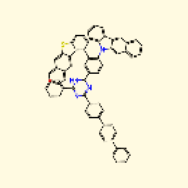 c1ccc(C2=NC(c3ccc(-c4ccc(-c5ccccc5)cc4)cc3)=NC(c3ccc(-n4c5ccccc5c5cc6ccccc6cc54)c(-c4cccc5sc6cc7ccccc7cc6c45)c3)N2)cc1